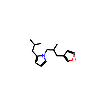 CC(C)Cc1cccn1CC(C)Cc1ccoc1